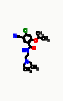 CCN(CC)CCNC(=O)c1cc(C#N)c(Cl)cc1OC(C)C